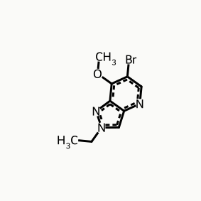 CCn1cc2ncc(Br)c(OC)c2n1